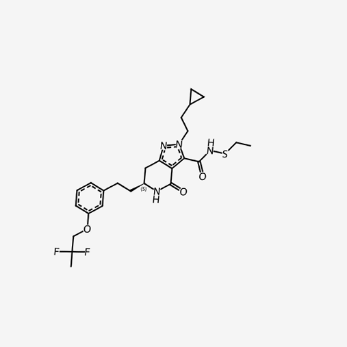 CCSNC(=O)c1c2c(nn1CCC1CC1)C[C@H](CCc1cccc(OCC(C)(F)F)c1)NC2=O